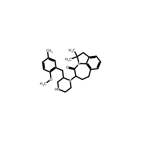 COc1ccc(C)cc1CC1CNCCN1C1CCc2cccc3c2N(C1=O)C(C)(C)C3